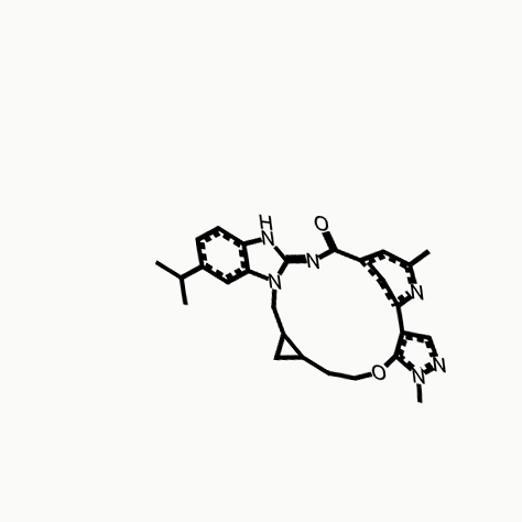 Cc1cc2cc(n1)-c1cnn(C)c1OCCC1CC1CN1/C(=N/C2=O)Nc2ccc(C(C)C)cc21